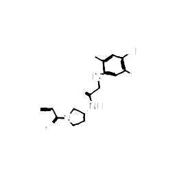 C=CC(=O)N1CC[C@@H](NC(=O)CNc2cc(Cl)c(Cl)cc2C)C1